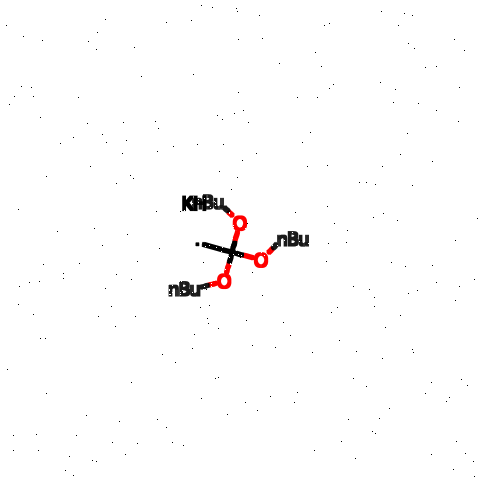 [CH2]C(OCCCC)(OCCCC)OCCCC.[KH]